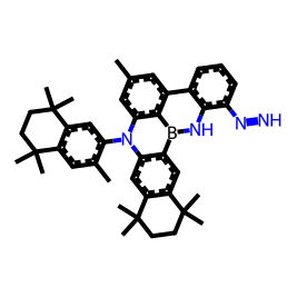 Cc1cc2c3c(c1)N(c1cc4c(cc1C)C(C)(C)CCC4(C)C)c1cc4c(cc1B3Nc1c(N=N)cccc1-2)C(C)(C)CCC4(C)C